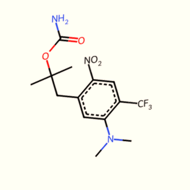 CN(C)c1cc(CC(C)(C)OC(N)=O)c([N+](=O)[O-])cc1C(F)(F)F